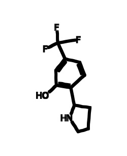 Oc1cc(C(F)(F)F)ccc1C1CCCN1